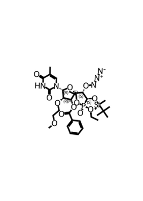 CCOP(=O)(OCC)[C@H](O[Si](C)(C)C(C)(C)C)[C@@H](ON=[N+]=[N-])[C@H]1O[C@@H](n2cc(C)c(=O)[nH]c2=O)[C@H](OCCOC)[C@@H]1OC(=O)c1ccccc1